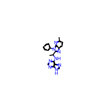 Cc1ccc2nc(C(C)Nc3ncnc4[nH]cnc34)n(-c3ccccc3)c2n1